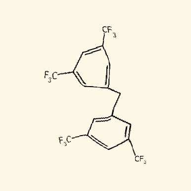 FC(F)(F)c1cc(Cc2cc(C(F)(F)F)cc(C(F)(F)F)c2)cc(C(F)(F)F)c1